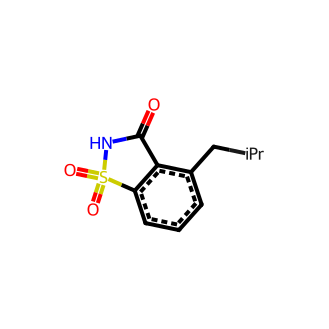 CC(C)Cc1cccc2c1C(=O)NS2(=O)=O